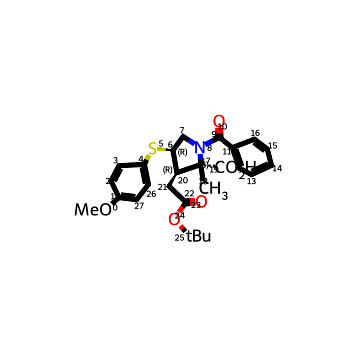 COc1ccc(S[C@H]2CN(C(=O)c3ccccc3)[C@](C)(C(=O)O)[C@H]2CC(=O)OC(C)(C)C)cc1